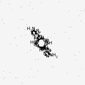 Nc1ccnc2c1ncn2[C@@H]1O[C@@H]2COP(=O)(S)O[C@H]3C(O)[C@@H](COP(=O)(O)OC2[C@@H]1F)O[C@H]3n1cnc2c(N)ncnc21